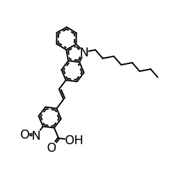 CCCCCCCCn1c2ccccc2c2cc(/C=C/c3ccc(N=O)c(C(=O)O)c3)ccc21